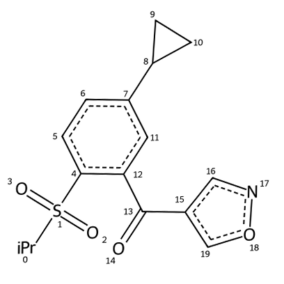 CC(C)S(=O)(=O)c1ccc(C2CC2)cc1C(=O)c1cnoc1